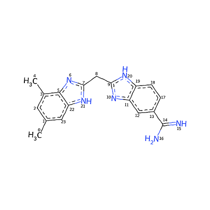 Cc1cc(C)c2nc(Cc3nc4cc(C(=N)N)ccc4[nH]3)[nH]c2c1